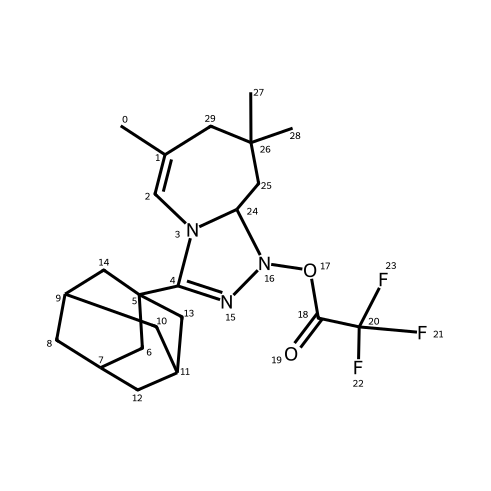 CC1=CN2C(C34CC5CC(CC(C5)C3)C4)=NN(OC(=O)C(F)(F)F)C2CC(C)(C)C1